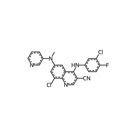 CN(c1cccnc1)c1cc(Cl)c2ncc(C#N)c(Nc3ccc(F)c(Cl)c3)c2c1